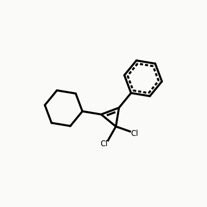 ClC1(Cl)C(c2ccccc2)=C1C1CCCCC1